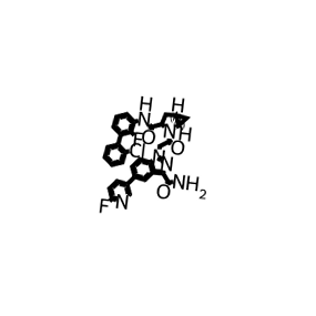 NC(=O)c1nn(CC(=O)N2C(C(=O)Nc3cccc(-c4ccccc4Cl)c3F)C[C@H]3C[C@H]32)c2ccc(-c3ccc(F)nc3)cc12